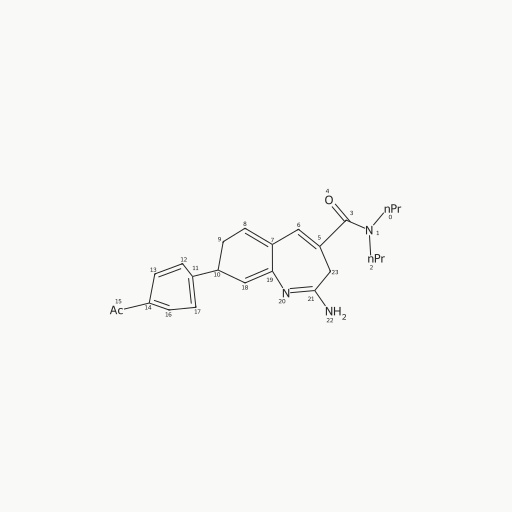 CCCN(CCC)C(=O)C1=CC2=CCC(c3ccc(C(C)=O)cc3)C=C2N=C(N)C1